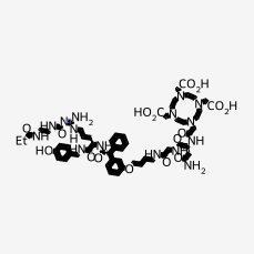 CCC(=O)NCCNC(=O)/N=C(/N)NCCC[C@@H](NC(=O)[C@@H](c1ccccc1)c1cccc(OCCCCNC(=O)CNC(=O)[C@@H](CC(N)=O)NC(=O)CN2CCN(CC(=O)O)CCN(CC(=O)O)CCN(CC(=O)O)CC2)c1)C(=O)NCc1ccc(O)cc1